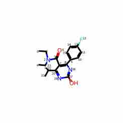 CCN(CC)C(=O)c1c(-c2ccc(F)cc2)nc(O)nc1C(C)C